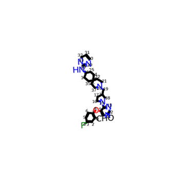 O=Cc1cc(F)ccc1Oc1cncnc1N1CCC(CN2CCC3(CCC(Nc4ncccn4)CC3)CC2)C1